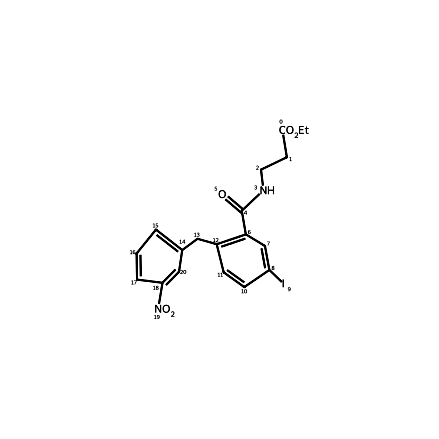 CCOC(=O)CCNC(=O)c1cc(I)ccc1Cc1cccc([N+](=O)[O-])c1